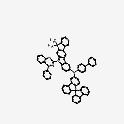 CC1(C)c2ccccc2-c2cc3c4cc(N(c5ccc(-c6ccccc6)cc5)c5ccc6c(c5)-c5ccccc5C65c6ccccc6-c6ccccc65)ccc4n(-c4nc(-c5ccccc5)c5ccccc5n4)c3cc21